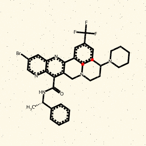 C[C@H](NC(=O)c1c(CN2CCC(N3CCCCC3)CC2)c(-c2cccc(C(F)(F)F)c2)nc2cc(Br)cnc12)c1ccccc1